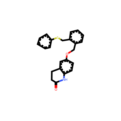 O=C1CCc2cc(OCc3ccccc3CSc3ccccc3)ccc2N1